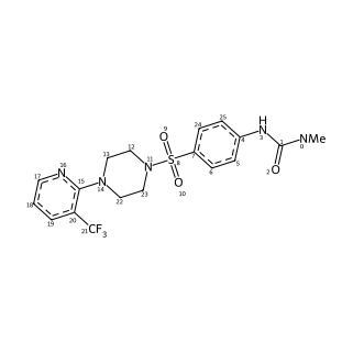 CNC(=O)Nc1ccc(S(=O)(=O)N2CCN(c3ncccc3C(F)(F)F)CC2)cc1